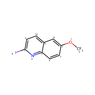 FC(F)(F)Oc1ccc2nc(I)ccc2c1